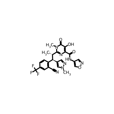 C[C@H](c1nc(C(=O)Nc2cnoc2)c(O)c(=O)n1C)[C@@H](c1cnn(C)c1)c1ccc(C(F)(F)F)cc1C#N